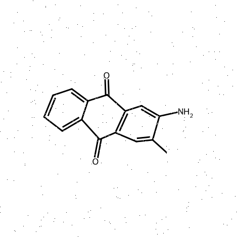 Cc1cc2c(cc1N)C(=O)c1ccccc1C2=O